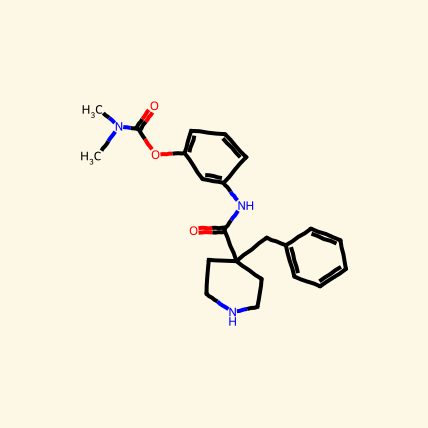 CN(C)C(=O)Oc1cccc(NC(=O)C2(Cc3ccccc3)CCNCC2)c1